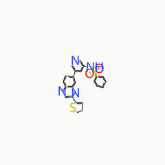 O=S(=O)(Nc1cncc(-c2ccc3ncc(C4=CCCS4)nc3c2)c1)c1ccccc1